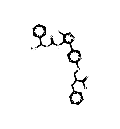 CC(OC(=O)Nc1c(F)noc1-c1ccc(OCC(Cc2ccccc2)C(=O)O)nc1)c1ccccc1